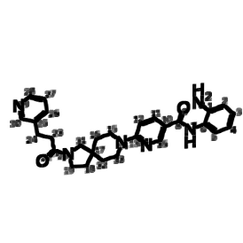 Nc1ccccc1NC(=O)c1ccc(N2CCC3(CCN(C(=O)CCc4cccnc4)C3)CC2)nc1